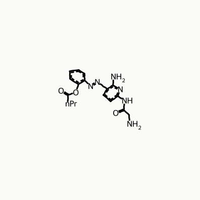 CCCC(=O)Oc1ccccc1N=Nc1ccc(NC(=O)CN)nc1N